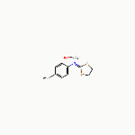 CCCCCCc1ccc(N=C2SCCS2)cc1.O=S(=O)(O)O